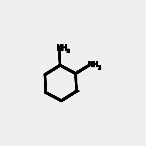 NC1[CH]CCCC1N